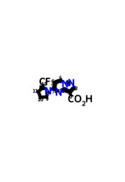 O=C(O)c1cnn2ccc(N3CCC[C@H]3C(F)(F)F)nc12